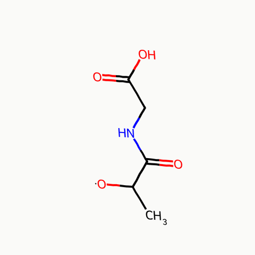 CC([O])C(=O)NCC(=O)O